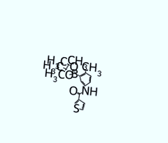 Cc1ccc(NC(=O)c2ccsc2)cc1B1OC(C)(C)C(C)(C)O1